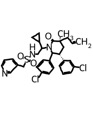 C=CC[C@@]1(C)C[C@H](c2cccc(Cl)c2)C(c2ccc(Cl)cc2)N(C(CNS(=O)(=O)Cc2cccnc2)C2CC2)C1=O